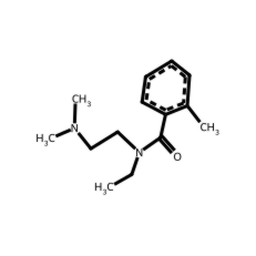 CCN(CCN(C)C)C(=O)c1ccccc1C